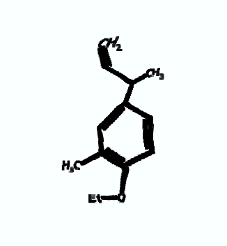 C=C[C](C)c1ccc(OCC)c(C)c1